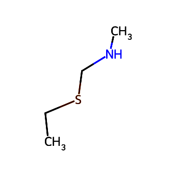 CCSCNC